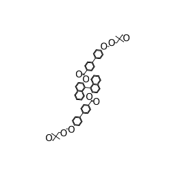 CC1(COCOc2ccc(-c3ccc(C(=O)Oc4ccc5ccccc5c4-c4c(OC(=O)c5ccc(-c6ccc(OCOCC7(C)COC7)cc6)cc5)ccc5ccccc45)cc3)cc2)COC1